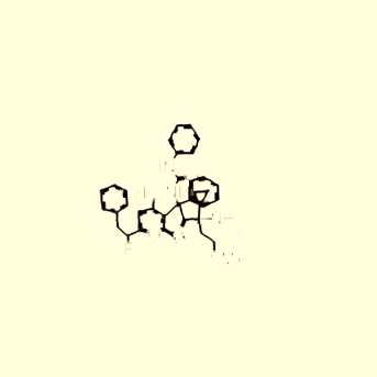 CCC(Cc1ccccc1)c1cc(O)c(C(NC(=O)Nc2ccccc2)(C(=O)[C@@](N)(CCSC)C2CC2)c2ccccc2)c(=O)o1